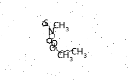 CCCCCCC(C)CCC(=O)Oc1cccc2c1CCC(N(CCC)CCc1cccs1)C2